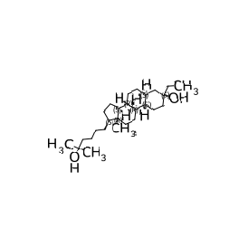 CC[C@]1(O)CC[C@H]2[C@@H](CC[C@@H]3[C@@H]2CC[C@]2(C)[C@@H](CCCCC(C)(C)O)CC[C@@H]32)C1